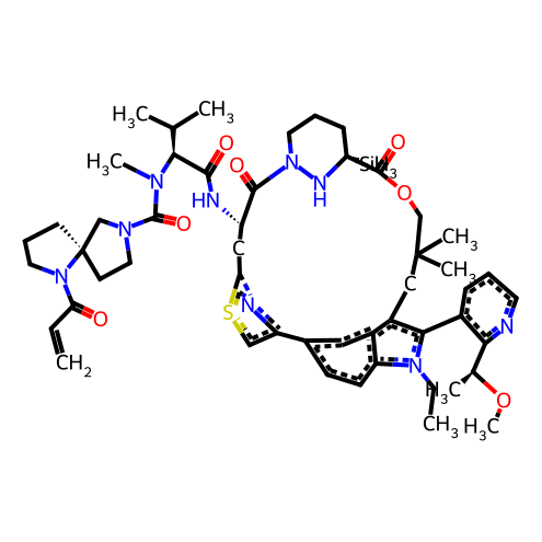 C=CC(=O)N1CCC[C@]12CCN(C(=O)N(C)[C@H](C(=O)N[C@H]1Cc3nc(cs3)-c3ccc4c(c3)c(c(-c3cccnc3[C@H](C)OC)n4CC)CC(C)(C)COC(=O)[C@@]3([SiH3])CCCN(N3)C1=O)C(C)C)C2